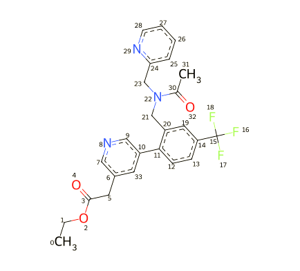 CCOC(=O)Cc1cncc(-c2ccc(C(F)(F)F)cc2CN(Cc2ccccn2)C(C)=O)c1